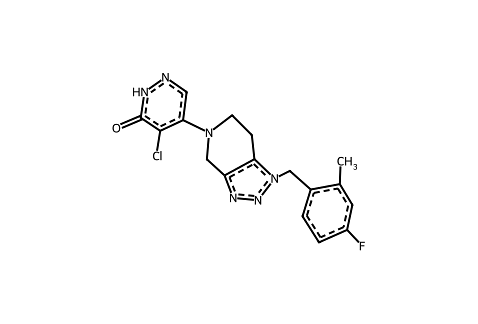 Cc1cc(F)ccc1Cn1nnc2c1CCN(c1cn[nH]c(=O)c1Cl)C2